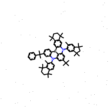 Cc1cc2c(cc1N1c3cc4c(cc3B3c5ccc(C(C)(C)c6ccccc6)cc5N(c5ccc6c(c5C)C(C)(C)CCC6(C)C)c5cc(C(C)(C)C)cc1c53)C(C)(C)CCC4(C)C)C(C)(C)CC2(C)C